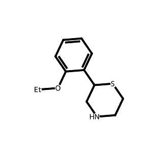 CCOc1ccccc1[C]1CNCCS1